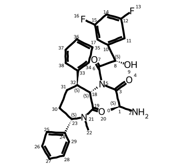 C[C@H](N)C(=O)N(C(=O)[C@@H](O)c1cc(F)cc(F)c1)[C@@H]1C(=O)N(C)[C@H](c2ccccc2)CC[C@H]1c1ccccc1